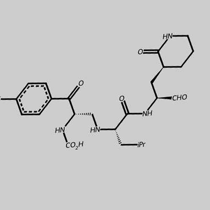 CC(C)C[C@H](NC[C@H](NC(=O)O)C(=O)c1ccc(F)cc1)C(=O)N[C@H](C=O)C[C@@H]1CCCNC1=O